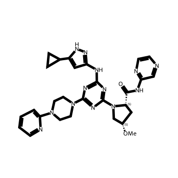 CO[C@H]1C[C@@H](C(=O)Nc2cnccn2)N(c2nc(Nc3cc(C4CC4)[nH]n3)nc(N3CCN(c4ccccn4)CC3)n2)C1